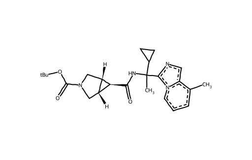 Cc1cccn2c(C(C)(NC(=O)[C@H]3[C@@H]4CN(C(=O)OC(C)(C)C)C[C@@H]43)C3CC3)ncc12